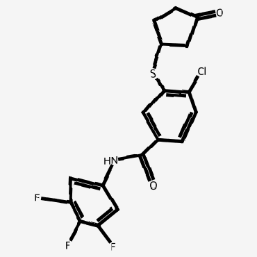 O=C1CCC(Sc2cc(C(=O)Nc3cc(F)c(F)c(F)c3)ccc2Cl)C1